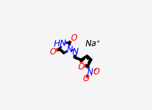 O=C1CN(/N=C/c2ccc([N+](=O)[O-])o2)C(=O)N1.[Na+]